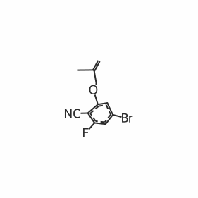 C=C(C)COc1cc(Br)cc(F)c1C#N